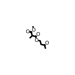 COC(=O)C(C)C(=O)OCCC(C)=O